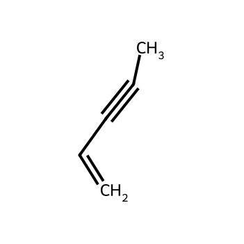 C=CC#CC